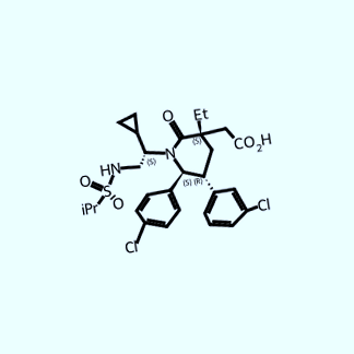 CC[C@@]1(CC(=O)O)C[C@H](c2cccc(Cl)c2)[C@@H](c2ccc(Cl)cc2)N([C@H](CNS(=O)(=O)C(C)C)C2CC2)C1=O